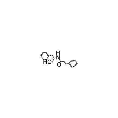 O=C(C=Cc1ccccc1)NC(CO)Cc1ccccc1